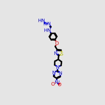 N=N/N=C\Nc1ccc(OCc2csc(C3CCN(c4ncc([N+](=O)[O-])cn4)CC3)n2)cc1